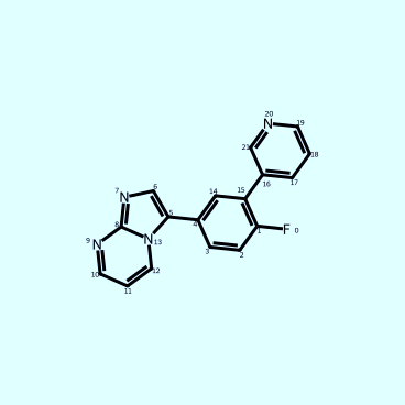 Fc1ccc(-c2cnc3ncccn23)cc1-c1cccnc1